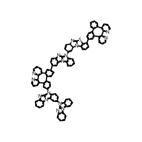 C1=CC2N=C3Sc4c(-c5ccc6c(c5)-c5cccnc5-c5ncccc5-c5ccccc5-6)cccc4N3C2C=C1n1c2ccccc2n2c3cc(-c4ccc5c(c4)-c4cccnc4-c4ncccc4-c4cc(-n6c7ccc(-n8c9ccccc9n9c%10ccccc%10nc89)cc7n7c8ccccc8nc67)ccc4-5)ccc3nc12